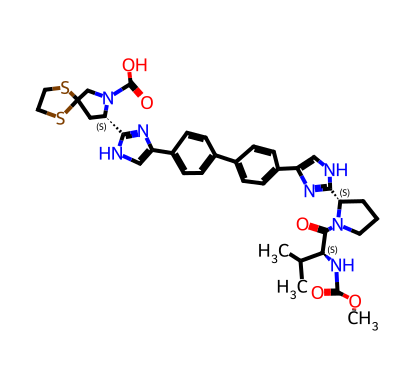 COC(=O)N[C@H](C(=O)N1CCC[C@H]1c1nc(-c2ccc(-c3ccc(-c4c[nH]c([C@@H]5CC6(CN5C(=O)O)SCCS6)n4)cc3)cc2)c[nH]1)C(C)C